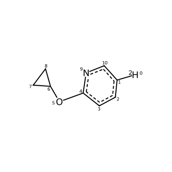 [2H]c1ccc(OC2CC2)nc1